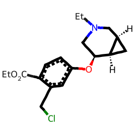 CCOC(=O)c1ccc(O[C@H]2CN(CC)C[C@H]3C[C@H]32)cc1CCl